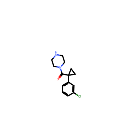 O=C(N1CCNCC1)C1(c2cccc(Cl)c2)CC1